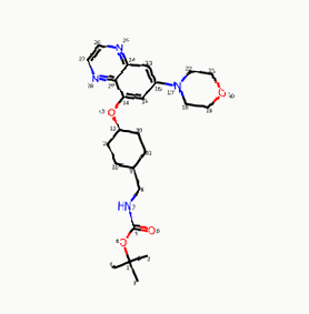 CC(C)(C)OC(=O)NC[C@H]1CC[C@@H](Oc2cc(N3CCOCC3)cc3nccnc23)CC1